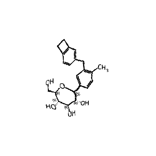 Cc1ccc([C@@H]2O[C@H](CO)[C@@H](O)[C@H](O)[C@H]2O)cc1Cc1ccc2c(c1)CC2